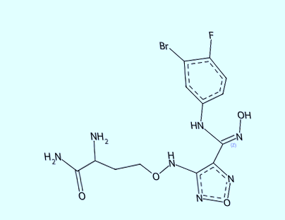 NC(=O)C(N)CCONc1nonc1/C(=N/O)Nc1ccc(F)c(Br)c1